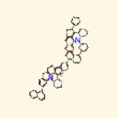 CC1(C)c2ccc(-c3cccc4c(-c5cccc(N(c6ccccc6-c6ccccc6-c6ccccc6)c6cccc7ccccc67)c5)cccc34)cc2-c2cccc(N(c3cccc(-c4cccc5ccccc45)c3)c3ccccc3-c3ccccc3-c3ccccc3)c21